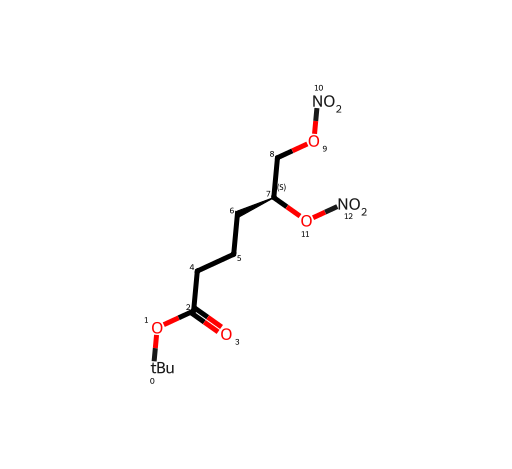 CC(C)(C)OC(=O)CCC[C@@H](CO[N+](=O)[O-])O[N+](=O)[O-]